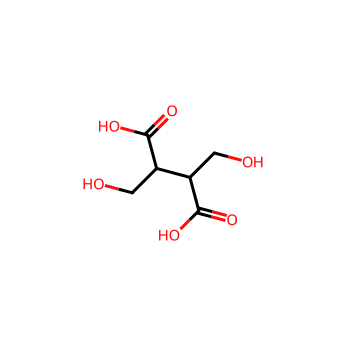 O=C(O)C(CO)C(CO)C(=O)O